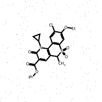 CCOc1cc2c(cc1Cl)-c1c(cc(C(=O)OC(C)C)c(=O)n1C1CC1)C(C)S2(=O)=O